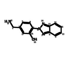 NCc1ccc(-n2nc3ccccc3n2)c(O)c1